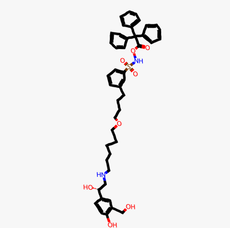 O=C(ONS(=O)(=O)c1cccc(CCCCOCCCCCCNC[C@@H](O)c2ccc(O)c(CO)c2)c1)C(c1ccccc1)(c1ccccc1)c1ccccc1